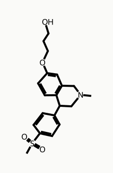 CN1Cc2cc(OCCCO)ccc2C(c2ccc(S(C)(=O)=O)cc2)C1